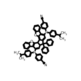 CC(C)c1ccc(N(C2=CC3C(c4oc5ccccc5c42)c2c(cc(N(c4ccc(C#N)cc4)c4ccc(C(C)C)cc4)c4c2oc2ccccc24)C3(c2ccccc2)c2ccccc2)c2ccc(C#N)cc2)cc1